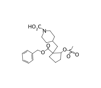 CS(=O)(=O)OC1CCCC1(CC1CCN(C(=O)O)CC1)C(=O)OCc1ccccc1